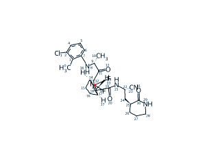 Cc1c(Cl)cccc1N[C@H](C)C(=O)N1[C@@H]2CC[C@H]([C@H]1C(=O)N[C@H](C#N)C[C@@H]1CCCNC1=O)C(F)(F)C2